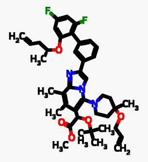 C=CCOC1(C)CCN(c2c(C(OC(C)(C)C)C(=O)OC)c(C)c(C)c3nc(-c4cccc(-c5c(F)cc(F)cc5O[C@@H](C)CC=C)c4)cn23)CC1